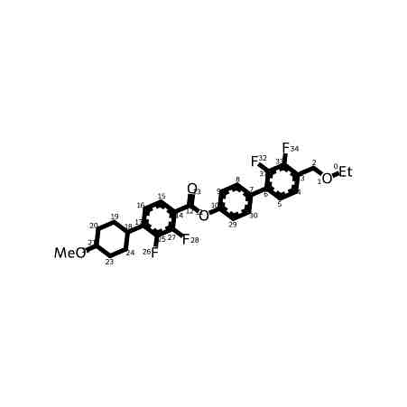 CCOCc1ccc(-c2ccc(OC(=O)c3ccc(C4CCC(OC)CC4)c(F)c3F)cc2)c(F)c1F